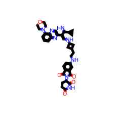 N=C(/C(=C\NC1CC(CCNc2ccc3c(c2)C(=O)N(C2CCC(=O)NC2=O)C3=O)C1)c1cnc2c(N3CCOCC3)cccc2n1)C1CC1